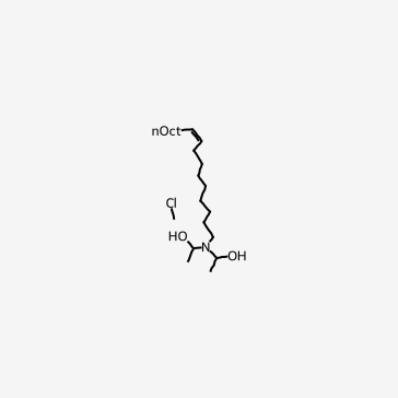 CCCCCCCC/C=C\CCCCCCCCN(C(C)O)C(C)O.CCl